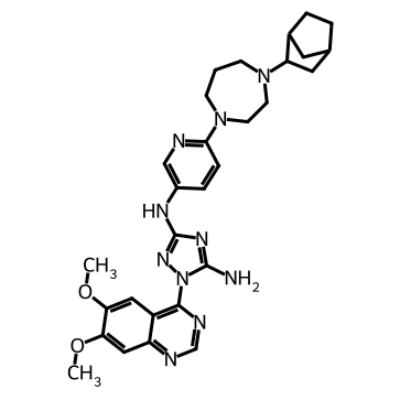 COc1cc2ncnc(-n3nc(Nc4ccc(N5CCCN(C6CC7CCC6C7)CC5)nc4)nc3N)c2cc1OC